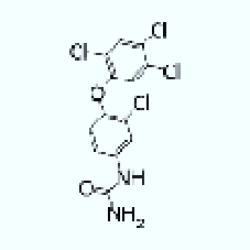 NC(=O)Nc1ccc(Oc2cc(Cl)c(Cl)cc2Cl)c(Cl)c1